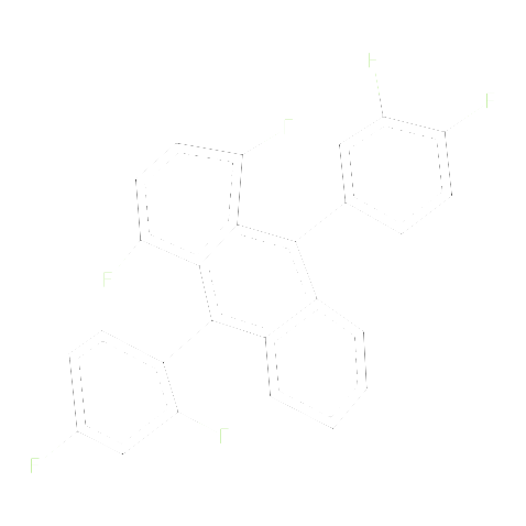 Fc1ccc(-c2c3ccccc3c(-c3ccc(F)c(F)c3)c3c(F)ccc(F)c23)c(F)c1